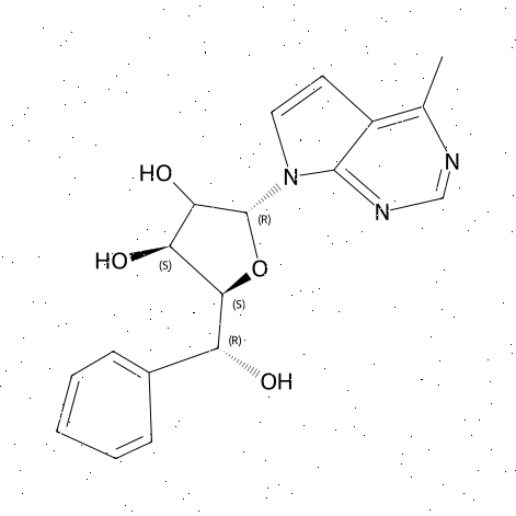 Cc1ncnc2c1ccn2[C@@H]1O[C@@H]([C@H](O)c2ccccc2)[C@@H](O)C1O